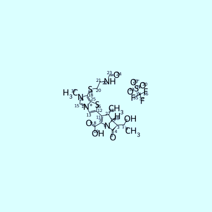 C[C@@H](O)[C@H]1C(=O)N2C(C(=O)O)=C(c3c[n+]4cn(C)c(SCCNC=O)c4s3)[C@H](C)[C@H]12.O=S(=O)([O-])C(F)(F)F